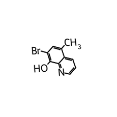 Cc1cc(Br)c(O)c2ncccc12